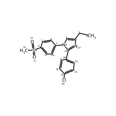 CCc1cn(-c2ccc(S(C)(=O)=O)cc2)c(-c2ccc(Cl)cc2)n1